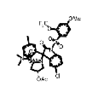 COc1ccc(S(=O)(=O)N2C(=O)C(c3cc(C)ccc3OC)(N3C[C@H](OC(C)=O)C[C@H]3C(=O)N(C)C)c3cc(Cl)ccc32)c(OC(F)(F)F)c1